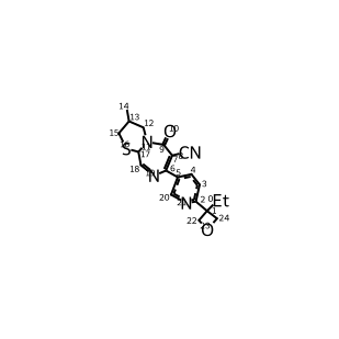 CCC1(c2ccc(C3=C(C#N)C(=O)N4CC(C)CSC4C=N3)cn2)COC1